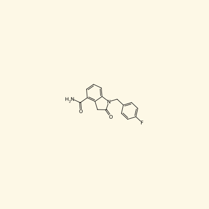 NC(=O)c1cccc2c1CC(=O)N2Cc1ccc(F)cc1